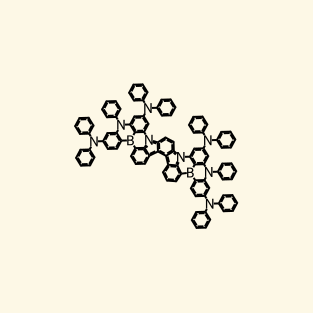 c1ccc(N(c2ccccc2)c2ccc3c(c2)N(c2ccccc2)c2cc(N(c4ccccc4)c4ccccc4)cc4c2B3c2cccc3c5c6c7cccc8c7n(c6ccc5n-4c23)-c2cc(N(c3ccccc3)c3ccccc3)cc3c2B8c2ccc(N(c4ccccc4)c4ccccc4)cc2N3c2ccccc2)cc1